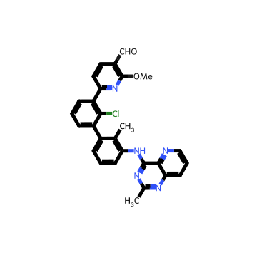 COc1nc(-c2cccc(-c3cccc(Nc4nc(C)nc5cccnc45)c3C)c2Cl)ccc1C=O